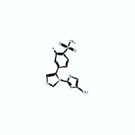 Cc1csc(N2COC=C2c2ccc(S(C)(=O)=O)c(F)c2)n1